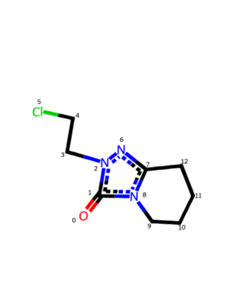 O=c1n(CCCl)nc2n1CCCC2